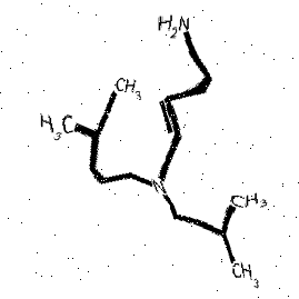 CC(C)CN(C=CCN)CC(C)C